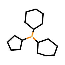 C1CCC(P(C2CCCCC2)C2CCCC2)CC1